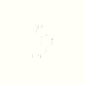 NCC1=CC=CC(CN)S1